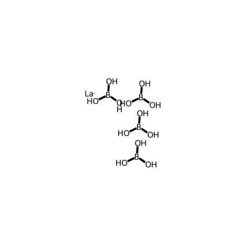 OB(O)O.OB(O)O.OB(O)O.OB(O)O.[La]